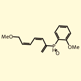 C=C(/C=C\C=C/COC)[PH](=O)c1ccccc1OC